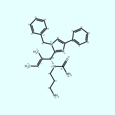 C/C=C(\C)[C@H](c1nc(-c2ccccc2)cn1Cc1ccccc1)N(CCCN)C(N)=O